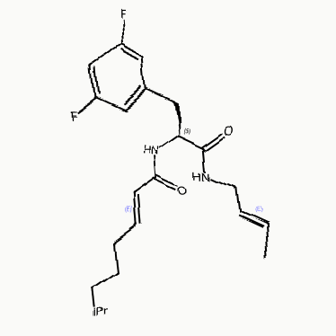 C/C=C/CNC(=O)[C@H](Cc1cc(F)cc(F)c1)NC(=O)/C=C/CCCC(C)C